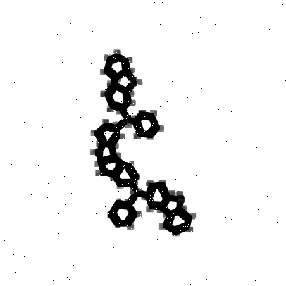 c1ccc(N(c2ccc3c(c2)oc2oc4ccc(N(c5ccccc5)c5ccc6c(c5)sc5ccccc56)cc4c23)c2ccc3oc4ccccc4c3c2)cc1